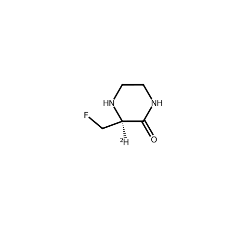 [2H][C@]1(CF)NCCNC1=O